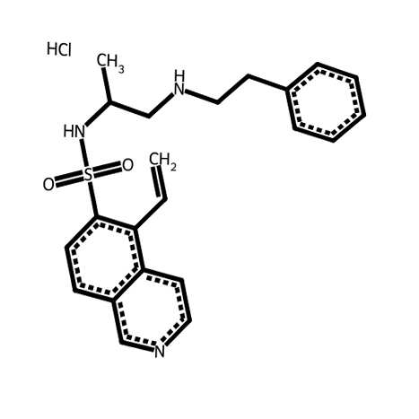 C=Cc1c(S(=O)(=O)NC(C)CNCCc2ccccc2)ccc2cnccc12.Cl